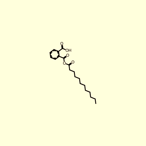 CCCCCCCCCCCC(=O)OC(=O)c1ccccc1C(=O)O